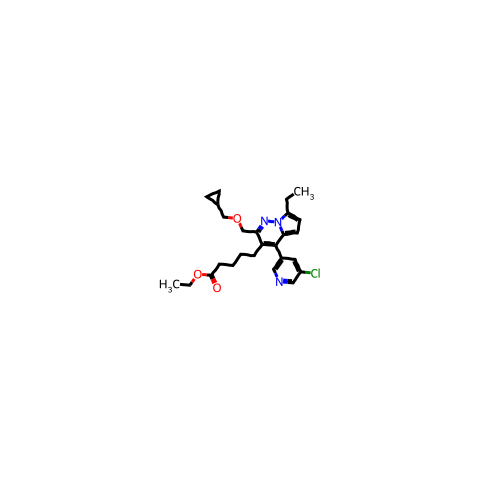 CCOC(=O)CCCCc1c(COCC2CC2)nn2c(CC)ccc2c1-c1cncc(Cl)c1